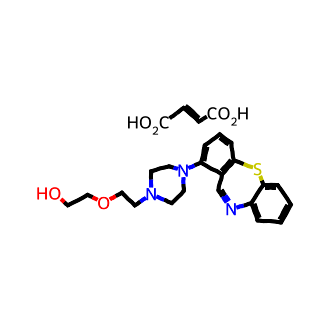 O=C(O)C=CC(=O)O.OCCOCCN1CCN(c2cccc3c2C=Nc2ccccc2S3)CC1